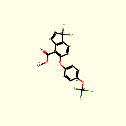 COC(=O)c1c(Oc2ccc(OC(F)(F)F)cc2)ccc2c1C=CC2(F)F